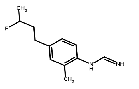 Cc1cc(CCC(C)F)ccc1NC=N